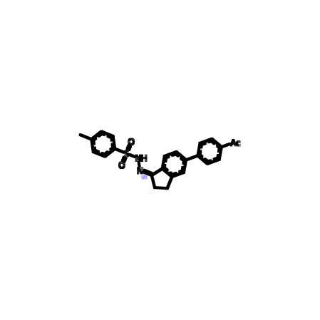 CC(=O)c1ccc(-c2ccc3c(c2)CC/C3=N/NS(=O)(=O)c2ccc(C)cc2)cc1